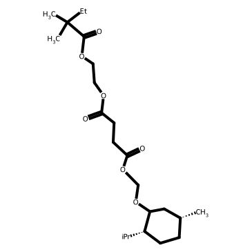 CCC(C)(C)C(=O)OCCOC(=O)CCC(=O)OCOC1C[C@H](C)CC[C@@H]1C(C)C